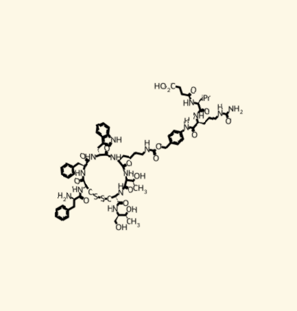 CC(C)[C@H](NC(=O)CCC(=O)O)C(=O)N[C@@H](CCCNC(N)=O)C(=O)Nc1ccc(COC(=O)NCCCC[C@@H]2NC(=O)[C@@H](Cc3c[nH]c4ccccc34)NC(=O)[C@H](Cc3ccccc3)NC(=O)[C@@H](NC(=O)[C@H](N)Cc3ccccc3)CSSC[C@@H](C(=O)N[C@H](CO)[C@@H](C)O)NC(=O)C([C@@H](C)O)NC2=O)cc1